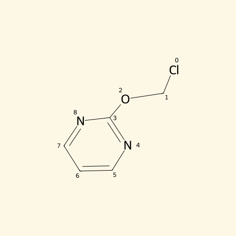 ClCOc1ncccn1